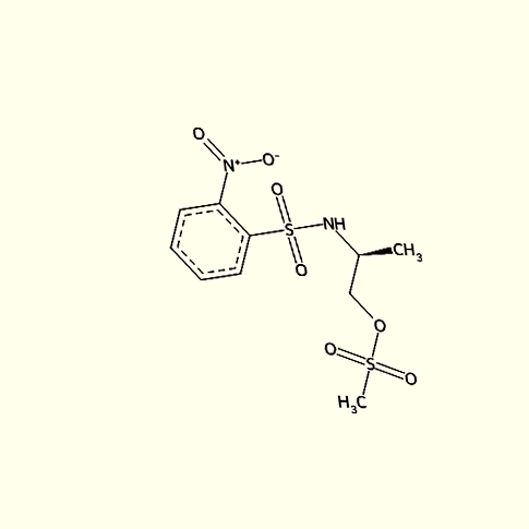 C[C@@H](COS(C)(=O)=O)NS(=O)(=O)c1ccccc1[N+](=O)[O-]